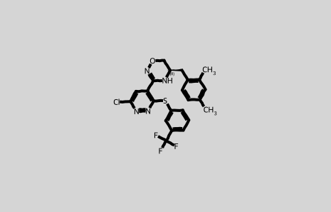 Cc1ccc(C[C@@H]2CON=C(c3cc(Cl)nnc3Sc3cccc(C(F)(F)F)c3)N2)c(C)c1